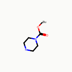 CCC(C)OC(=O)N1CC[N]CC1